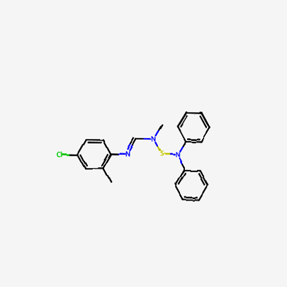 Cc1cc(Cl)ccc1N=CN(C)SN(c1ccccc1)c1ccccc1